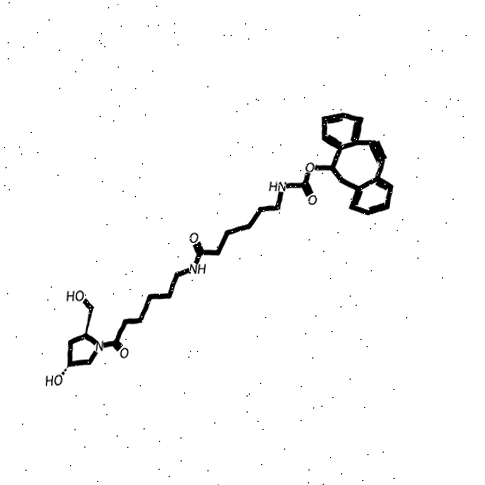 O=C(CCCCCNC(=O)OC1Cc2ccccc2C#Cc2ccccc21)NCCCCCC(=O)N1C[C@H](O)C[C@H]1CO